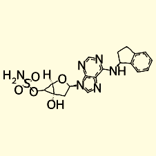 NS(=O)(=O)OC1[C@H]2O[C@@H](n3cnc4c(N[C@H]5CCc6ccccc65)ncnc43)C[C@@]12O